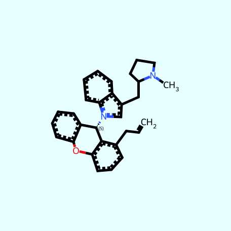 C=CCc1cccc2c1[C@@H](n1cc(CC3CCCN3C)c3ccccc31)c1ccccc1O2